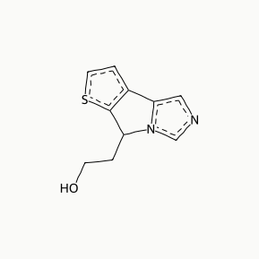 OCCC1c2sccc2-c2cncn21